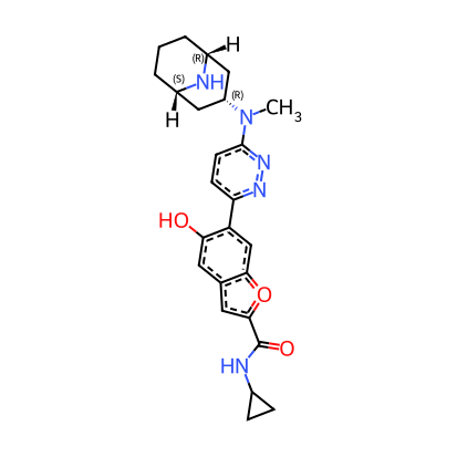 CN(c1ccc(-c2cc3oc(C(=O)NC4CC4)cc3cc2O)nn1)[C@H]1C[C@H]2CCC[C@@H](C1)N2